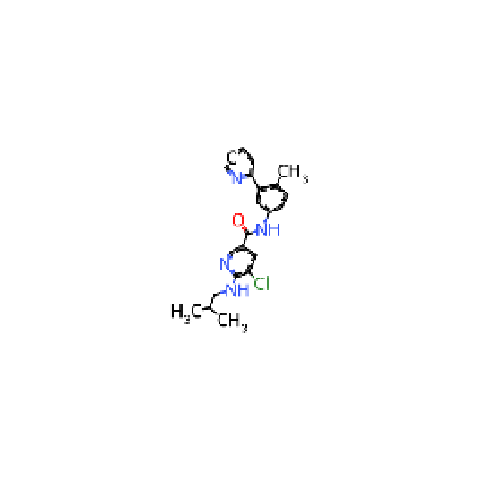 Cc1ccc(NC(=O)c2cnc(NCC(C)C)c(Cl)c2)cc1-c1ccccn1